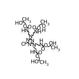 CC(O)COC(=O)NCCN(CCNC(=O)OCC(C)O)c1nc(Cl)nc(N(CCNC(=O)OCC(C)O)CCNC(=O)OCC(C)O)n1